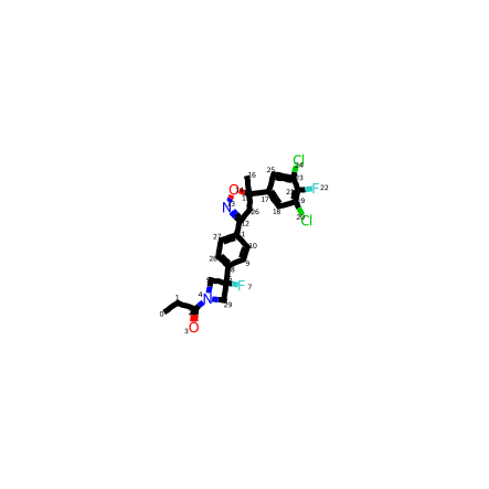 CCC(=O)N1CC(F)(c2ccc(C3=NOC(C)(c4cc(Cl)c(F)c(Cl)c4)C3)cc2)C1